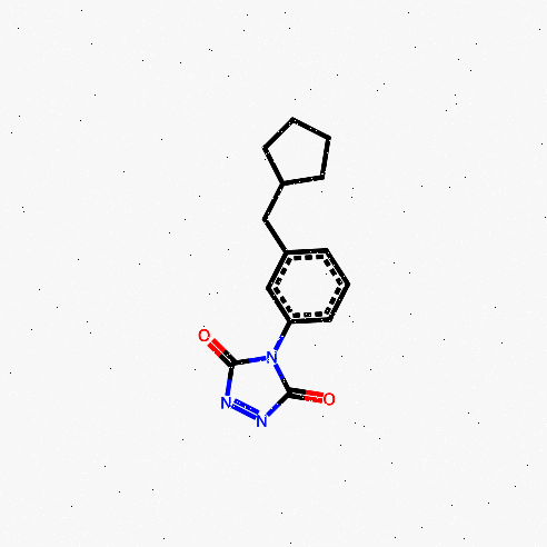 O=C1N=NC(=O)N1c1cccc(CC2CCCC2)c1